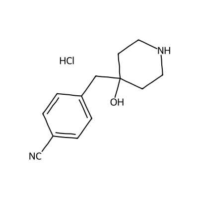 Cl.N#Cc1ccc(CC2(O)CCNCC2)cc1